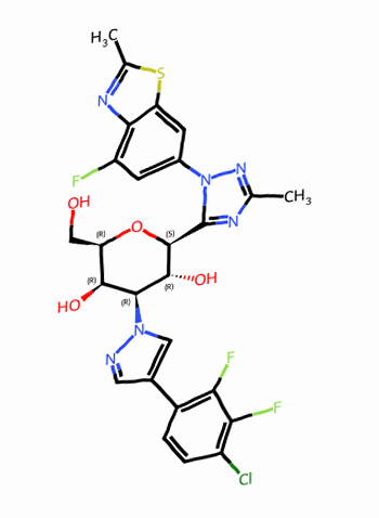 Cc1nc([C@@H]2O[C@H](CO)[C@H](O)[C@H](n3cc(-c4ccc(Cl)c(F)c4F)cn3)[C@H]2O)n(-c2cc(F)c3nc(C)sc3c2)n1